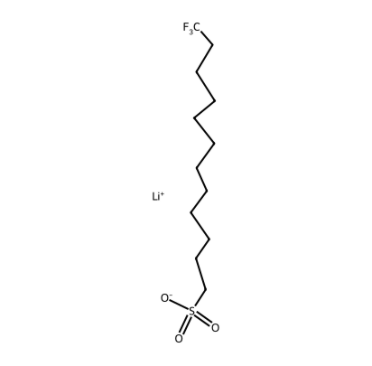 O=S(=O)([O-])CCCCCCCCCCCC(F)(F)F.[Li+]